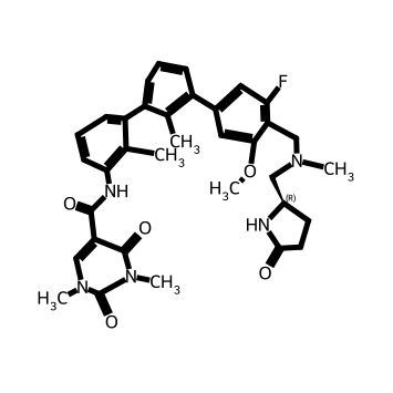 COc1cc(-c2cccc(-c3cccc(NC(=O)c4cn(C)c(=O)n(C)c4=O)c3C)c2C)cc(F)c1CN(C)C[C@H]1CCC(=O)N1